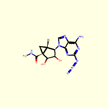 CNC(=O)[C@@]12C[C@@H]1[C@@H](n1cnc3c(N)nc(N=[N+]=[N-])nc31)C(O)C2O